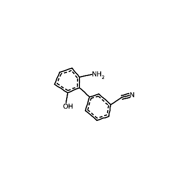 N#Cc1cccc(-c2c(N)cccc2O)c1